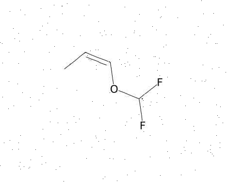 C/C=C\O[C](F)F